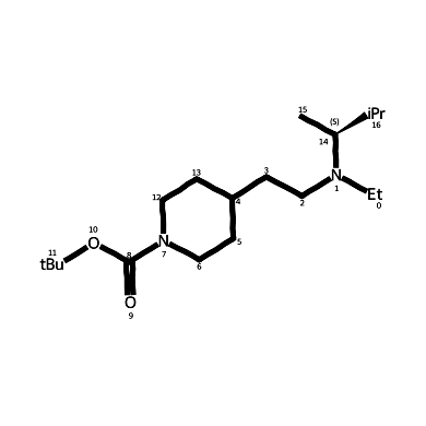 CCN(CCC1CCN(C(=O)OC(C)(C)C)CC1)[C@@H](C)C(C)C